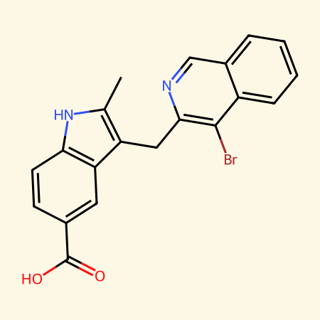 Cc1[nH]c2ccc(C(=O)O)cc2c1Cc1ncc2ccccc2c1Br